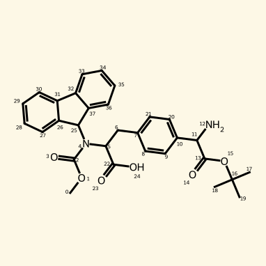 COC(=O)N(C(Cc1ccc(C(N)C(=O)OC(C)(C)C)cc1)C(=O)O)C1c2ccccc2-c2ccccc21